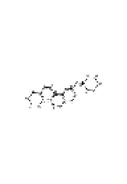 c1cc2ccc3c4c(ccc3c2cc1CN1CCCCC1)CCCC4